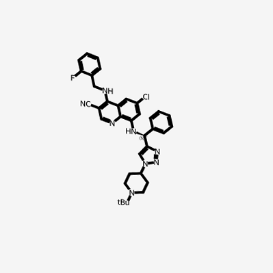 CC(C)(C)N1CCC(n2cc([C@@H](Nc3cc(Cl)cc4c(NCc5ccccc5F)c(C#N)cnc34)c3ccccc3)nn2)CC1